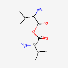 CC(C)C(N)C(=O)OC(=O)[C@@H](N)C(C)C